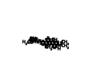 CCC(C)Nc1ccc(N(C)c2ccc(N(C)c3ccc(/N=N/c4nc(S(=O)(=O)CC)ns4)cc3)c3ccccc23)c2ccccc12